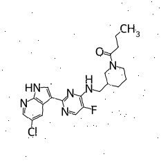 CCCC(=O)N1CCCC(CNc2nc(-c3c[nH]c4ncc(Cl)cc34)ncc2F)C1